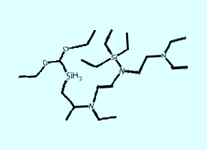 CCOC(OCC)[SiH2]CC(C)N(CC)CCN(CCN(CC)CC)[Si](CC)(CC)CC